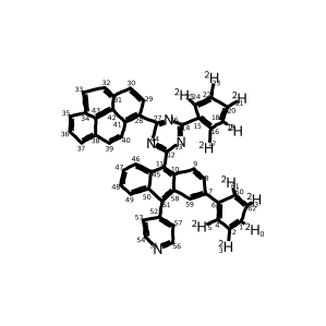 [2H]c1c([2H])c([2H])c(-c2ccc3c(-c4nc(-c5c([2H])c([2H])c([2H])c([2H])c5[2H])nc(-c5ccc6ccc7cccc8ccc5c6c78)n4)c4ccccc4c(-c4ccncc4)c3c2)c([2H])c1[2H]